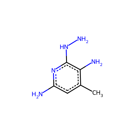 Cc1cc(N)nc(NN)c1N